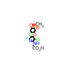 CS(=O)(=O)c1cc(Oc2c(Cl)c(F)nc(NCC(=O)O)c2Cl)ccc1O